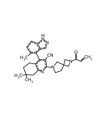 C=CC(=O)N1CC2(CCN(c3nc4c(c(-c5c(C)ccc6[nH]ncc56)c3C#N)CCC(C)(C)C4)C2)C1